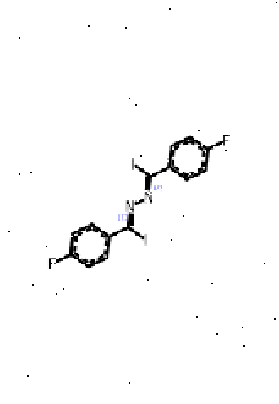 Fc1ccc(/C(I)=N/N=C(\I)c2ccc(F)cc2)cc1